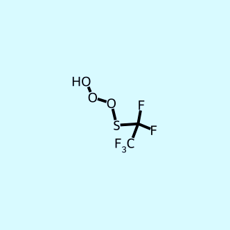 OOOSC(F)(F)C(F)(F)F